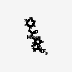 O=C(Cc1ccnnc1)Nc1ncn2c(C(F)(F)F)csc12